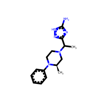 CC(c1n[nH]c(N)n1)N1CCN(c2ccccc2)[C@H](C)C1